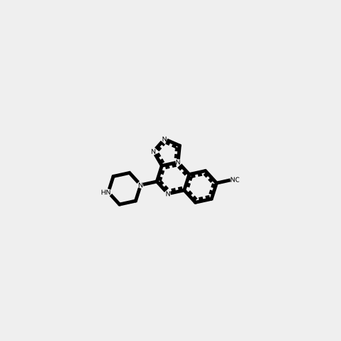 [C-]#[N+]c1ccc2nc(N3CCNCC3)c3nncn3c2c1